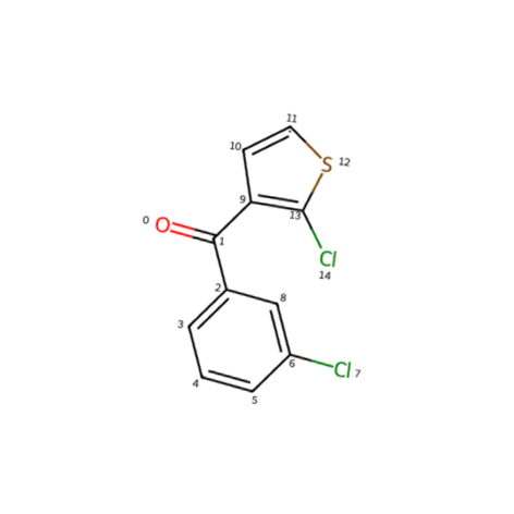 O=C(c1cccc(Cl)c1)c1c[c]sc1Cl